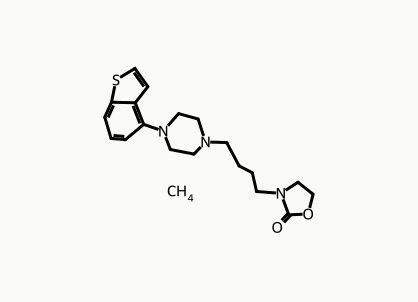 C.O=C1OCCN1CCCCN1CCN(c2cccc3sccc23)CC1